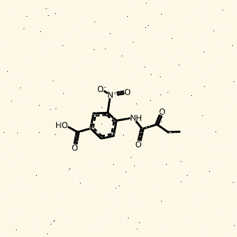 CCC(=O)C(=O)Nc1ccc(C(=O)O)cc1[N+](=O)[O-]